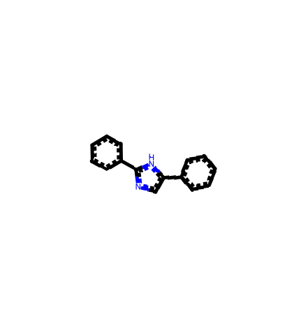 [c]1cccc(-c2cnc(-c3ccccc3)[nH]2)c1